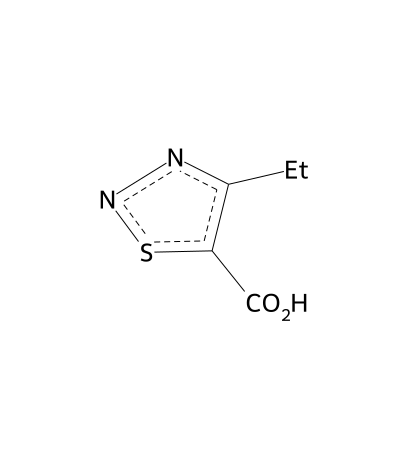 CCc1nnsc1C(=O)O